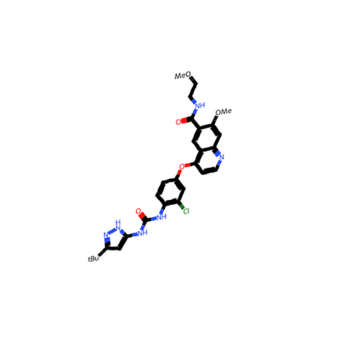 COCCNC(=O)c1cc2c(Oc3ccc(NC(=O)Nc4cc(C(C)(C)C)n[nH]4)c(Cl)c3)ccnc2cc1OC